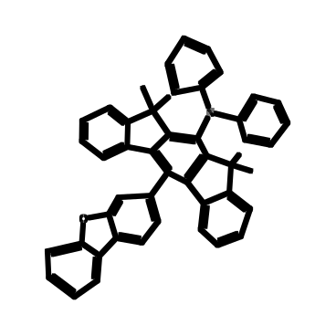 CC1(C)c2ccccc2-c2c(-c3ccc4c(c3)oc3ccccc34)c3c(c(N(c4ccccc4)c4ccccc4)c21)C(C)(C)c1ccccc1-3